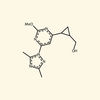 COc1nc(C2CC2CO)cc(-n2nc(C)nc2C)n1